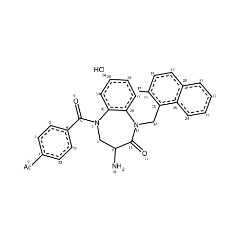 CC(=O)c1ccc(C(=O)N2CC(N)C(=O)N(Cc3c(C)ccc4ccccc34)c3ccccc32)cc1.Cl